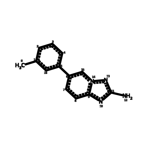 Cc1cccc(-c2ccc3nc(N)nn3c2)c1